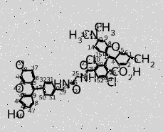 C=c1ccc2c(c1)Oc1cc(N(C)C)ccc1C=2c1c(Cl)c(C(=O)NCC(=O)NCc2ccc(-c3c4ccc(=O)cc-4oc4cc(O)ccc34)cc2)cc(Cl)c1C(=O)O